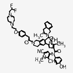 Cc1c(N(C(=O)c2cc(-c3cc4c(cc3C(=O)N3Cc5ccccc5C[C@H]3C)CN(C(=O)Cc3ccc(OCCN5CCN(CC(F)F)CC5)cc3)CC4)n(C)c2C)c2ccc(O)cc2)cc(C#N)n1C